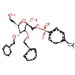 Cc1ccc(S(=O)(=O)OC[C@]2(O)O[C@H](CO)[C@@H](OCc3ccccc3)[C@@H]2OCc2ccccc2)cc1